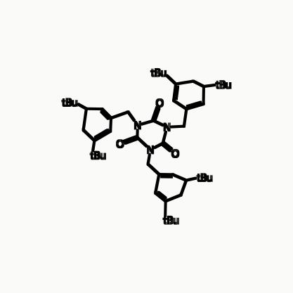 CC(C)(C)C1=CC(Cn2c(=O)n(CC3=CC(C(C)(C)C)CC(C(C)(C)C)=C3)c(=O)n(CC3=CC(C(C)(C)C)CC(C(C)(C)C)=C3)c2=O)=CC(C(C)(C)C)C1